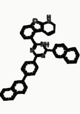 C1=Cc2c(oc3cccc(C4=NC(c5ccc(-c6ccc7ccccc7c6)cc5)=NC(c5ccc6ccccc6c5)N4)c23)NC1